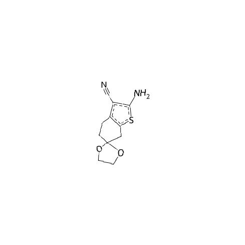 N#Cc1c(N)sc2c1CCC1(C2)OCCO1